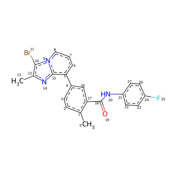 Cc1ccc(-c2cccn3c(Br)c(C)nc23)cc1C(=O)Nc1ccc(F)cc1